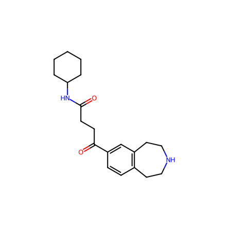 O=C(CCC(=O)c1ccc2c(c1)CCNCC2)NC1CCCCC1